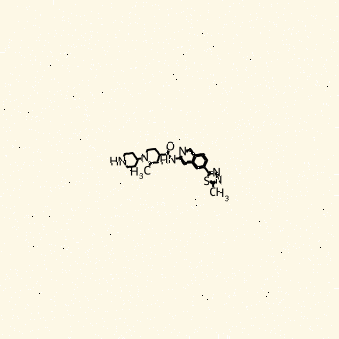 Cc1nnc(-c2ccc3cnc(NC(=O)C4CCN(C5CCNCC5)C(C)C4)cc3c2)s1